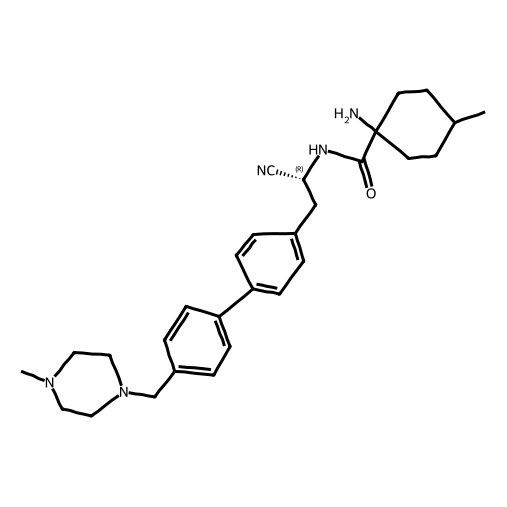 CC1CCC(N)(C(=O)N[C@@H](C#N)Cc2ccc(-c3ccc(CN4CCN(C)CC4)cc3)cc2)CC1